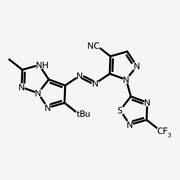 Cc1nn2nc(C(C)(C)C)c(/N=N/c3c(C#N)cnn3-c3nc(C(F)(F)F)ns3)c2[nH]1